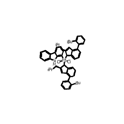 CCC(C)c1ccccc1-c1cccc2c1C=C(CC(C)C)[CH]2[Hf]([Cl])([Cl])([c]1cccc2c1[SiH2]c1ccccc1-2)[CH]1C(CC(C)C)=Cc2c(-c3ccccc3C(C)CC)cccc21